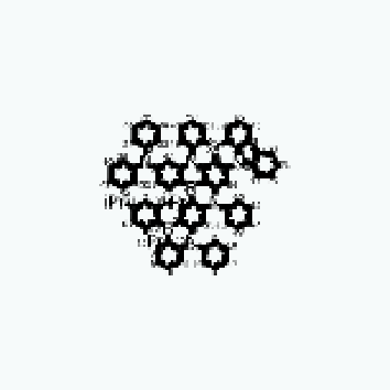 CC(C)c1cc(C(C)C)c(B2c3ccccc3N(c3ccccc3)c3cc4c(cc32)B2c3ccc(N(c5ccccc5)c5ccccc5)cc3N3c5ccccc5B5c6c(cc(c2c63)N4c2ccccc2)-n2c3ccccc3c3cccc5c32)c(C(C)C)c1